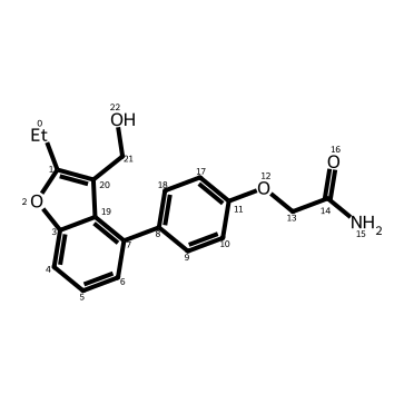 CCc1oc2cccc(-c3ccc(OCC(N)=O)cc3)c2c1CO